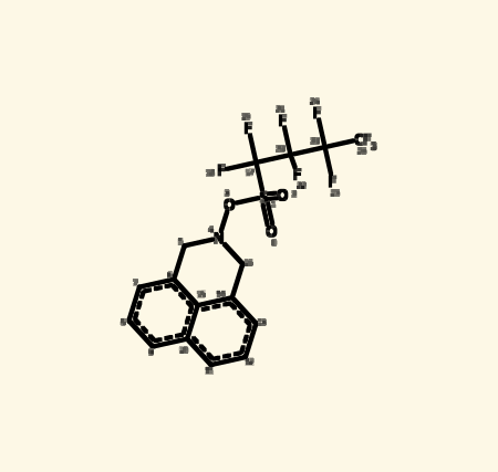 O=S(=O)(ON1Cc2cccc3cccc(c23)C1)C(F)(F)C(F)(F)C(F)(F)C(F)(F)F